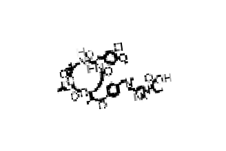 CCC(C(=O)O)n1cc(CN(C)Cc2ccc([C@H]3O[C@@H]3[C@@H](C)[C@@H]3CC=CC(=O)N[C@H](Cc4ccc(OC)c(Cl)c4)C(=O)NCC(C)(C)C(=O)O[C@@H](CC(C)C)C(=O)O3)cc2)nn1